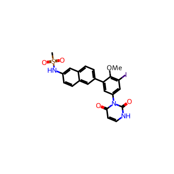 COc1c(I)cc(-n2c(=O)cc[nH]c2=O)cc1-c1ccc2cc(NS(C)(=O)=O)ccc2c1